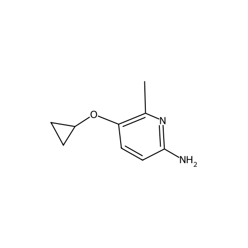 Cc1nc(N)ccc1OC1CC1